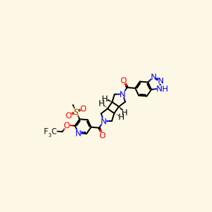 CS(=O)(=O)c1cc(C(=O)N2C[C@@H]3[C@H](C2)[C@H]2CN(C(=O)c4ccc5[nH]nnc5c4)C[C@@H]32)cnc1OCC(F)(F)F